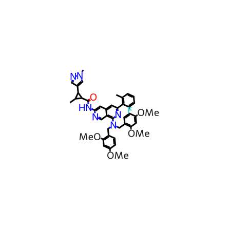 COc1ccc(CN(Cc2ccc(OC)cc2OC)c2nc(-c3c(C)cccc3F)cc3cc(NC(=O)C4C(C)C4c4cnn(C)c4)ncc23)c(OC)c1